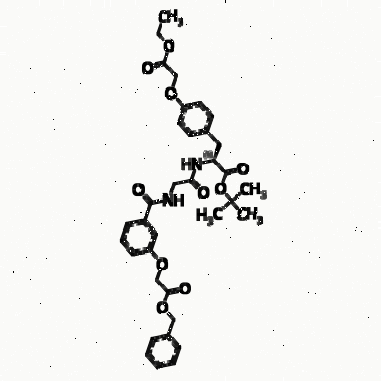 CCOC(=O)COc1ccc(C[C@H](NC(=O)CNC(=O)c2cccc(OCC(=O)OCc3ccccc3)c2)C(=O)OC(C)(C)C)cc1